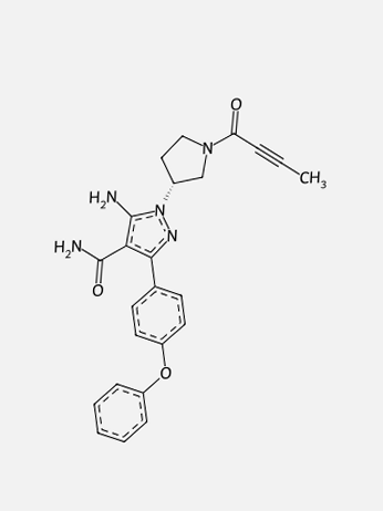 CC#CC(=O)N1CC[C@@H](n2nc(-c3ccc(Oc4ccccc4)cc3)c(C(N)=O)c2N)C1